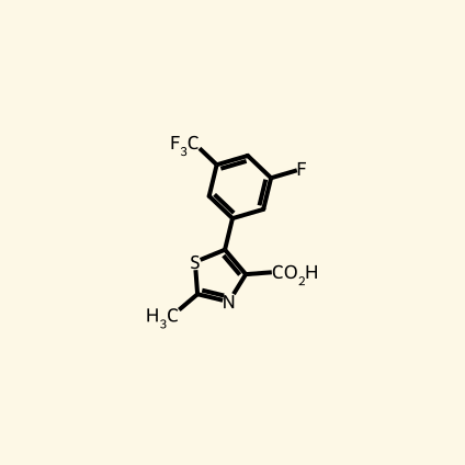 Cc1nc(C(=O)O)c(-c2cc(F)cc(C(F)(F)F)c2)s1